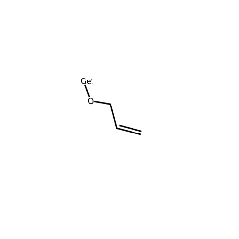 C=CC[O][Ge]